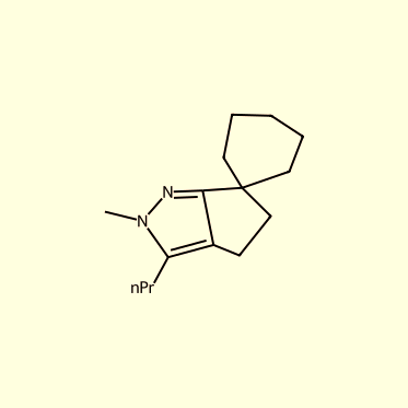 CCCc1c2c(nn1C)C1(CCCCC1)CC2